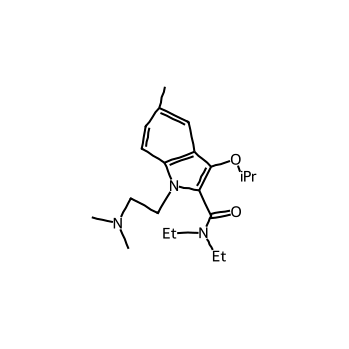 CCN(CC)C(=O)c1c(OC(C)C)c2cc(C)ccc2n1CCN(C)C